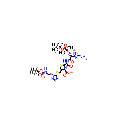 CC(C)(C)OC(=O)NCCn1nnnc1SCC1=C(C(=O)O)N2C(=O)C(NC(=O)C(=NOC(C)(C)C(=O)OC(C)(C)C)c3nsc(N)n3)[C@@H]2SC1